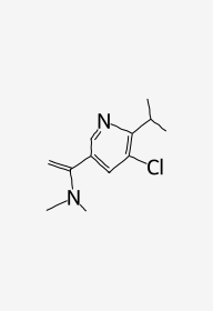 C=C(c1cnc(C(C)C)c(Cl)c1)N(C)C